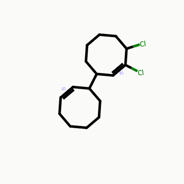 Cl/C1=C/C(C2/C=C\CCCCC2)CCCCC1Cl